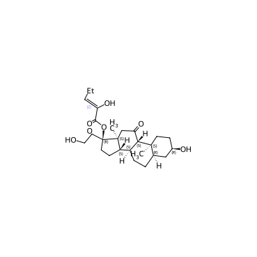 CC/C=C(\O)C(=O)O[C@]1(C(=O)CO)CC[C@H]2[C@@H]3CC[C@@H]4C[C@H](O)CC[C@]4(C)[C@H]3C(=O)C[C@@]21C